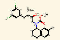 CCc1ccc2c(c1)[C@H](N(CC(=O)[C@H](Cc1cc(F)cc(F)c1)NC(C)=O)C(=O)OC(C)(C)C)CCC2